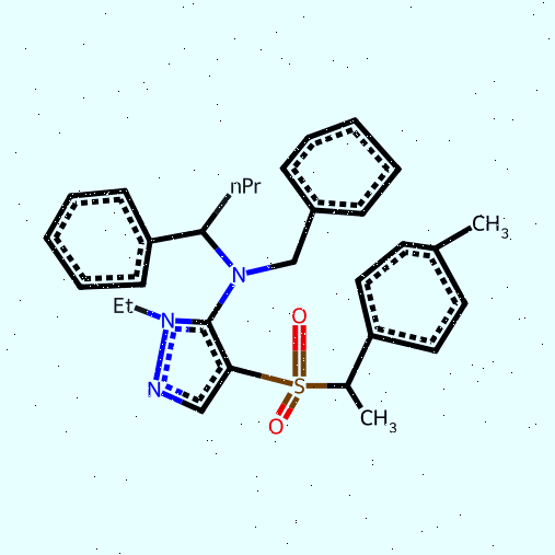 CCCC(c1ccccc1)N(Cc1ccccc1)c1c(S(=O)(=O)C(C)c2ccc(C)cc2)cnn1CC